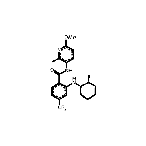 COc1ccc(NC(=O)c2ccc(C(F)(F)F)cc2N[C@@H]2CCCC[C@@H]2C)c(C)n1